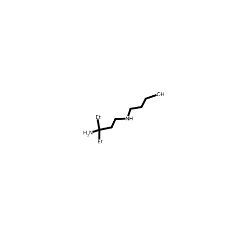 CCC(N)(CC)CCNCCCO